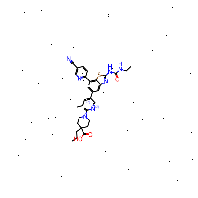 C=C(/N=C\C(=C/CC)c1cc(-c2ccc(C#N)cn2)c2sc(NC(=O)NCC)nc2c1)N1CCC(CCC)(C(=O)O)CC1